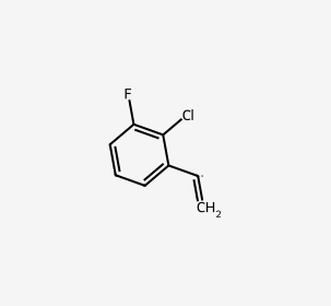 C=[C]c1cccc(F)c1Cl